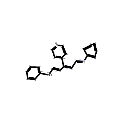 C(/C=N/c1ccccc1)=C(\C=C\Nc1ccccc1)c1ccncc1